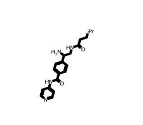 CC(C)CCC(=O)NCC(N)c1ccc(C(=O)Nc2ccncc2)cc1